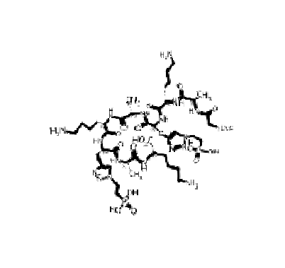 CCCCCCCCCCCC(=O)N[C@@H](C)C(=O)N[C@@H](CCCCN)C(=O)N[C@@H](Cc1cn(CCP(=O)(O)O)nn1)C(=O)N[C@@H](C)C(=O)N[C@@H](CCCCN)C(=O)N[C@@H](Cc1cn(CCP(=O)(O)O)nn1)C(=O)N[C@@H](C)C(=O)N[C@@H](CCCCN)C(=O)O